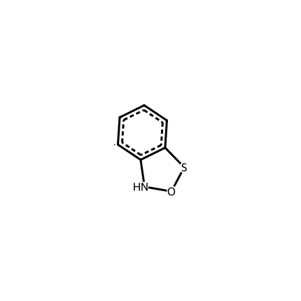 [c]1cccc2c1NOS2